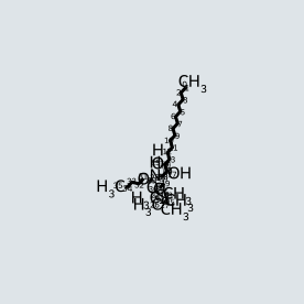 CCCCCCCCCCCCCC[C@@H](O)[C@@H](O)[C@H](CO[Si](C)(C)C(C)(C)C)NC(=O)OCCCC